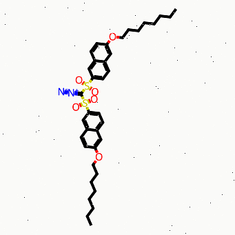 CCCCCCCCOc1ccc2cc(S(=O)(=O)C(=[N+]=[N-])S(=O)(=O)c3ccc4cc(OCCCCCCCC)ccc4c3)ccc2c1